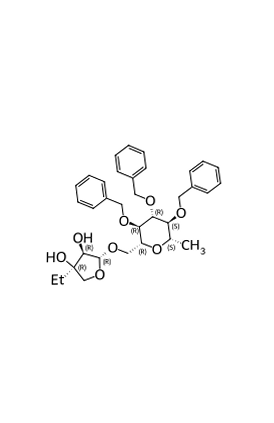 CC[C@@]1(O)CO[C@@H](OC[C@H]2O[C@@H](C)[C@H](OCc3ccccc3)[C@@H](OCc3ccccc3)[C@@H]2OCc2ccccc2)[C@@H]1O